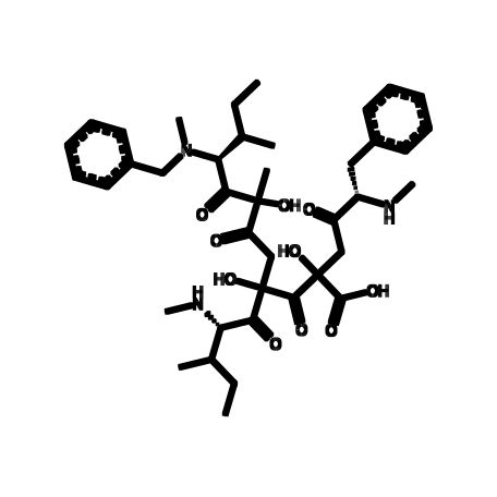 CCC(C)[C@H](NC)C(=O)C(O)(CC(=O)C(C)(O)C(=O)[C@H](C(C)CC)N(C)Cc1ccccc1)C(=O)C(O)(CC(=O)[C@H](Cc1ccccc1)NC)C(=O)O